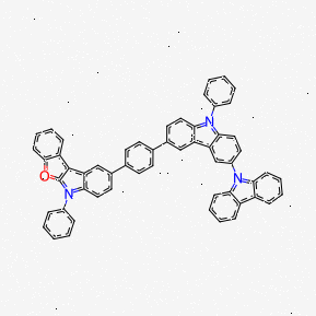 c1ccc(-n2c3ccc(-c4ccc(-c5ccc6c(c5)c5c7ccccc7oc5n6-c5ccccc5)cc4)cc3c3cc(-n4c5ccccc5c5ccccc54)ccc32)cc1